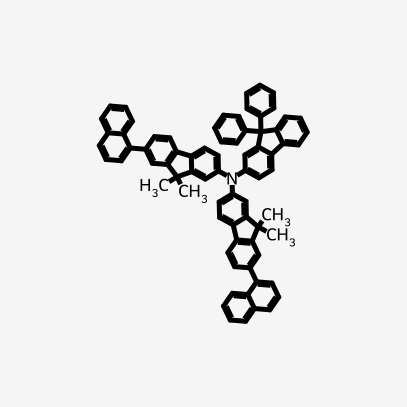 CC1(C)c2cc(-c3cccc4ccccc34)ccc2-c2ccc(N(c3ccc4c(c3)C(C)(C)c3cc(-c5cccc6ccccc56)ccc3-4)c3ccc4c(c3)C(c3ccccc3)(c3ccccc3)c3ccccc3-4)cc21